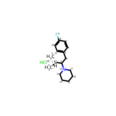 C[SiH](C)C(Cc1ccc(F)cc1)N1CCCCC1.Cl